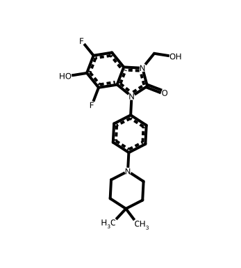 CC1(C)CCN(c2ccc(-n3c(=O)n(CO)c4cc(F)c(O)c(F)c43)cc2)CC1